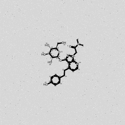 CN(C)C(=O)Cn1nc(O[C@@H]2O[C@H](CO)[C@@H](O)[C@H](O)[C@H]2O)c2c(CCc3ccc(O)cc3)ccnc21